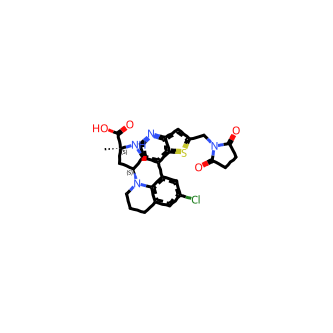 C[C@@]1(C(=O)O)C[C@H](N2CCCc3cc(Cl)cc(-c4ccnc5cc(CN6C(=O)CCC6=O)sc45)c32)CN1